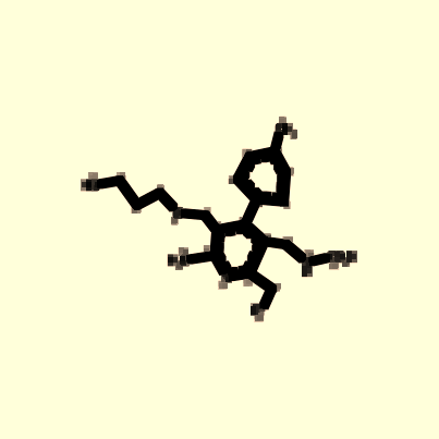 Cc1ccc(-c2c(COCCCO)c(C)nc(CC(C)C)c2CNC(=O)O)cc1